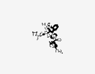 CCOC(=O)c1c(N2CCN(C(=O)c3cc(C)on3)CC2)c2ccccc2n(C)c1=O